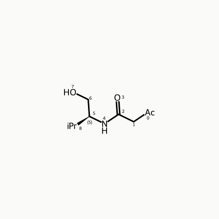 CC(=O)CC(=O)N[C@H](CO)C(C)C